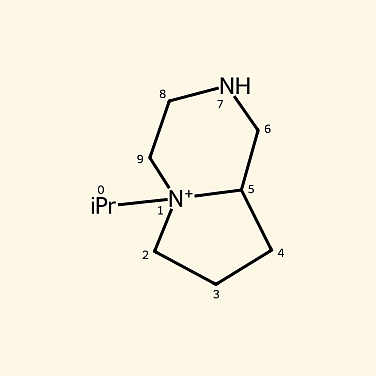 CC(C)[N+]12CCCC1CNCC2